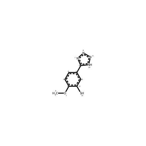 COc1ccc(-c2nnn[nH]2)cc1S